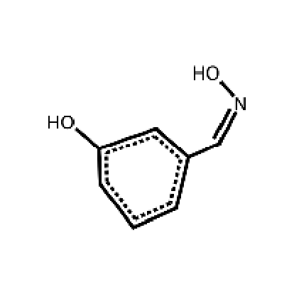 O/N=C\c1cccc(O)c1